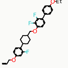 C=CCOc1ccc(C2CCC(COc3ccc(-c4ccc(OCC)cc4)c(F)c3F)CC2)c(F)c1